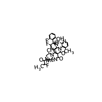 C=C(F)C(=O)N1CCN(c2c(C(=O)NC)c(=O)n(-c3c(C)ccnc3C(C)C)c3nc(-c4c(O)cccc4F)c(F)cc23)[C@@H](C)C1